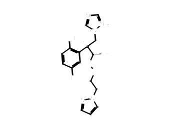 C[C@@H](SSCCn1cccn1)[C@](O)(Cn1cncn1)c1cc(F)ccc1F